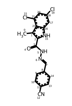 Cc1c(C(=O)NN=Cc2ccc(C#N)cc2)[nH]c2cc(Cl)cc(Cl)c12